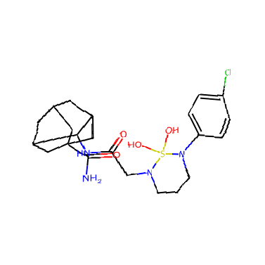 NC(=O)C12CC3CC(C1)C(NC(=O)CN1CCCN(c4ccc(Cl)cc4)S1(O)O)C(C3)C2